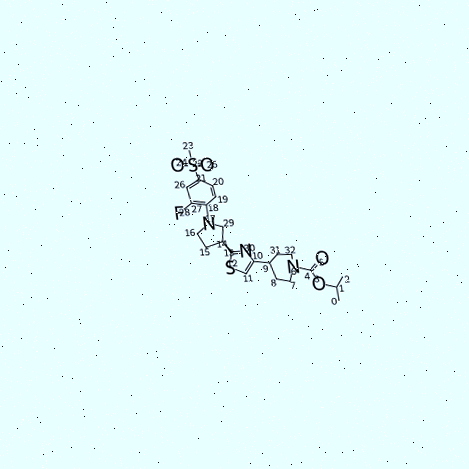 CC(C)OC(=O)N1CCC(c2csc([C@H]3CCN(c4ccc(S(C)(=O)=O)cc4F)C3)n2)CC1